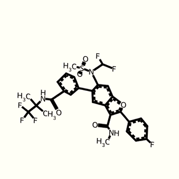 CNC(=O)c1c(-c2ccc(F)cc2)oc2cc(N(C(F)F)S(C)(=O)=O)c(-c3cccc(C(=O)NC(C)(C)C(F)(F)F)c3)cc12